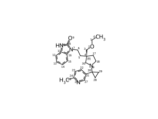 CCOC[C@@]1(CCn2c(=O)[nH]c3ccccc32)CCN(C2(c3ccc(C)nc3)CC2)C1